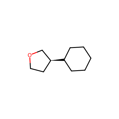 C1CCC([C@H]2CCOC2)CC1